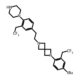 CC(C)(C)c1ccc(N2CC3(CN(CCc4ccc(N5CCNCC5)c(CC(F)(F)F)c4)C3)C2)c(CC(F)(F)F)c1